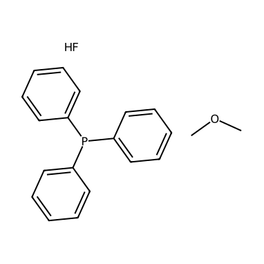 COC.F.c1ccc(P(c2ccccc2)c2ccccc2)cc1